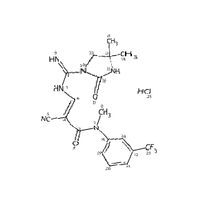 CN(C(=O)C(C#N)=CNC(=N)N1CC(C)(C)NC1=O)c1cccc(C(F)(F)F)c1.Cl